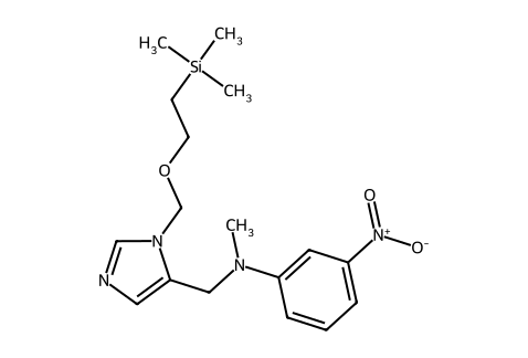 CN(Cc1cncn1COCC[Si](C)(C)C)c1cccc([N+](=O)[O-])c1